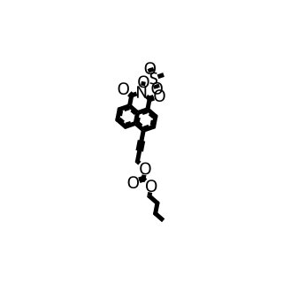 CCCCOC(=O)OCC#Cc1ccc2c3c(cccc13)C(=O)N(OS(C)(=O)=O)C2=O